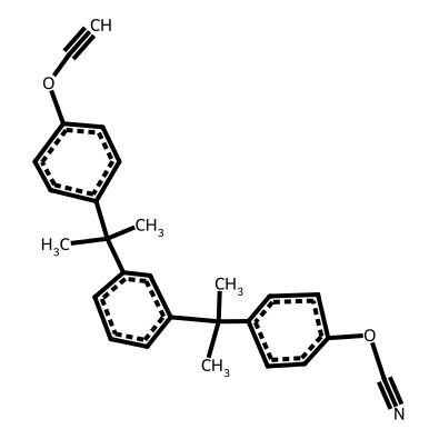 C#COc1ccc(C(C)(C)c2cccc(C(C)(C)c3ccc(OC#N)cc3)c2)cc1